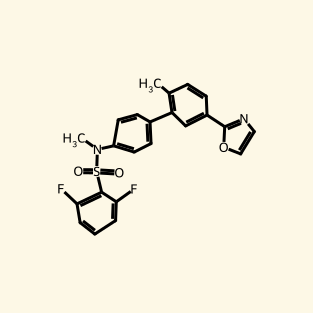 Cc1ccc(-c2ncco2)cc1-c1ccc(N(C)S(=O)(=O)c2c(F)cccc2F)cc1